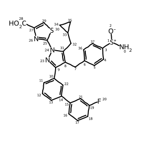 N[S+]([O-])c1ccc(Cc2c(-c3cccc(-c4cccc(F)c4)c3)nn(-c3nc(C(=O)O)cs3)c2CC2CC2)cc1